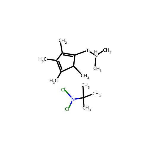 CC(C)(C)N(Cl)Cl.CC1=C(C)C(C)[C]([Ti][SiH](C)C)=C1C